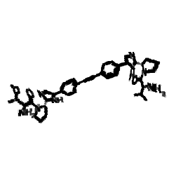 CO[C@H](C)[C@H](N)C(=O)N1CCC[C@H]1c1ncc(-c2ccc(C#Cc3ccc(-c4cnc([C@@H]5CCCN5C(=O)[C@@H](N)C(C)C)[nH]4)cc3)cc2)[nH]1